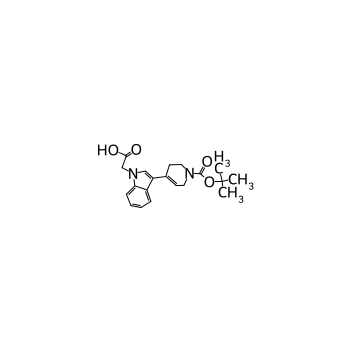 CC(C)(C)OC(=O)N1CC=C(c2cn(CC(=O)O)c3ccccc23)CC1